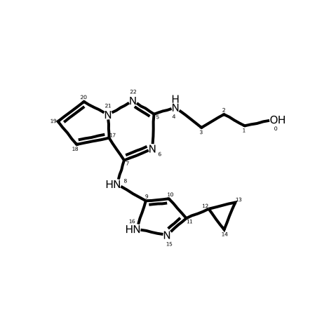 OCCCNc1nc(Nc2cc(C3CC3)n[nH]2)c2cccn2n1